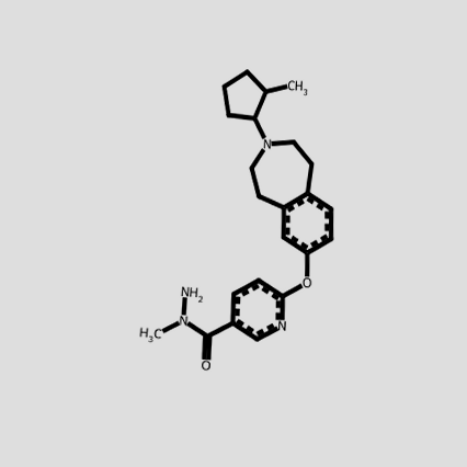 CC1CCCC1N1CCc2ccc(Oc3ccc(C(=O)N(C)N)cn3)cc2CC1